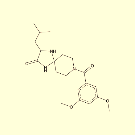 COc1cc(OC)cc(C(=O)N2CCC3(CC2)NC(=O)C(CC(C)C)N3)c1